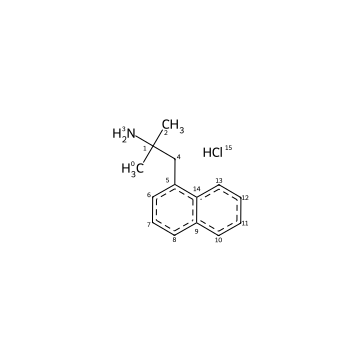 CC(C)(N)Cc1cccc2ccccc12.Cl